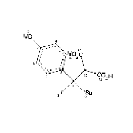 CC(C)(C)C(I)(c1ccc(O)cc1)C(C(=O)O)C(=O)O